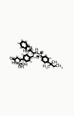 CCC(C)(C)c1ccc(S(=O)(=O)N[C@@H](Cc2ccc(C3CC(=O)NS3(O)O)cc2)c2nc3ccccc3[nH]2)cc1